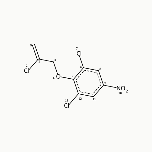 C=C(Cl)COc1c(Cl)cc([N+](=O)[O-])cc1Cl